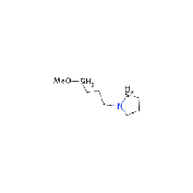 CO[SiH2]CCCN1CCC[SiH2]1